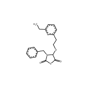 CCc1cccc(CCOC2C(=O)SC(=O)N2Cc2ccccc2)n1